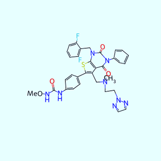 CONC(=O)Nc1ccc(-c2sc3c(c2CN(C)CCn2nccn2)c(=O)n(-c2ccccc2)c(=O)n3Cc2c(F)cccc2F)cc1